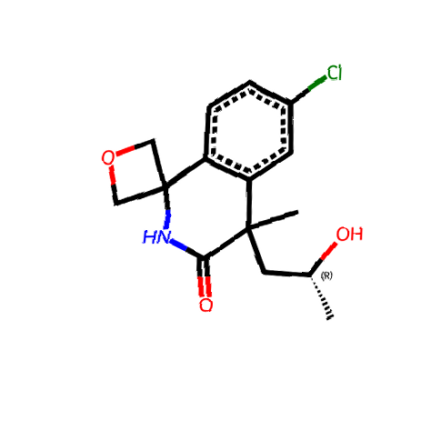 C[C@@H](O)CC1(C)C(=O)NC2(COC2)c2ccc(Cl)cc21